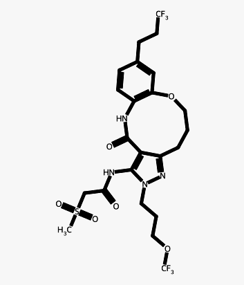 CS(=O)(=O)CC(=O)Nc1c2c(nn1CCCOC(F)(F)F)CCCOc1cc(CCC(F)(F)F)ccc1NC2=O